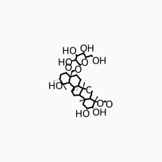 C[C@@H]1CC[C@]2(C(=O)OC3OC(CO)C(O)C(O)C3O)CC[C@]3(C)C(=CCC4[C@@]5(C)C[C@@H](O)[C@H](O)[C@@](C)(OC=O)C5CC[C@]43C)C2[C@]1(C)O